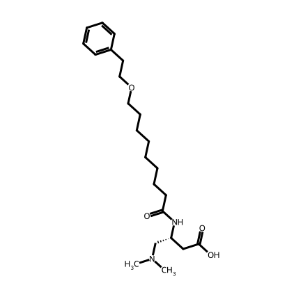 CN(C)C[C@@H](CC(=O)O)NC(=O)CCCCCCCCOCCc1ccccc1